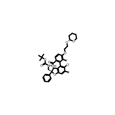 CC(C)(C)OC(=O)NC[C@@]1(c2ccccc2)Cc2c(cc(F)c(Cl)c2-c2c(C(=O)O)ccc(OCCO[C@@H]3CCCCO3)c2F)O1